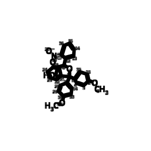 COc1ccc(C(OC(CCO)c2ccccc2[N+](=O)[O-])(c2ccccc2)c2ccc(OC)cc2)cc1